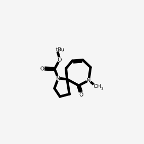 CN1CC=CCC2(CCCN2C(=O)OC(C)(C)C)C1=O